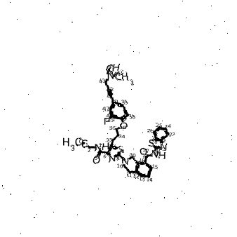 CCCNC(=O)c1nc(N2CCc3cccc(C(=O)Nc4nc5ccccc5s4)c3C2)sc1CCCOc1ccc(C#CCN(C)C)cc1F